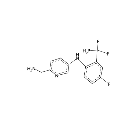 NCc1ccc(Nc2ccc(F)cc2C(F)(F)P)cn1